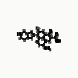 CC1COc2c(N3CC4=C(CNCC4)C3)c(F)cc3c(=O)c(C(=O)O)cn1c23